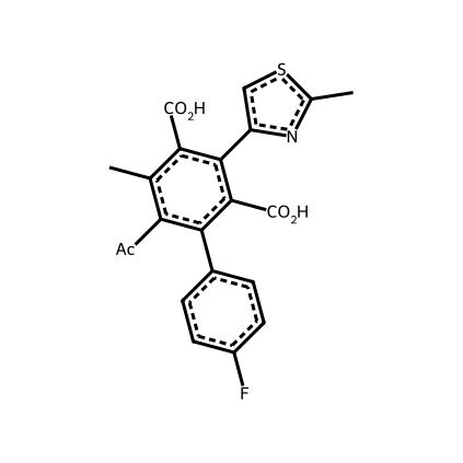 CC(=O)c1c(C)c(C(=O)O)c(-c2csc(C)n2)c(C(=O)O)c1-c1ccc(F)cc1